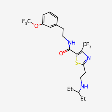 CCC(CC)NCCc1nc(C(F)(F)F)c(C(=O)NCCc2cccc(OC(F)(F)F)c2)s1